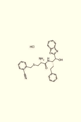 Cl.N#Cc1ccccc1CSC[C@H](N)C(=O)N[C@@H](CCc1ccccc1)C(O)c1nc2ccccc2o1